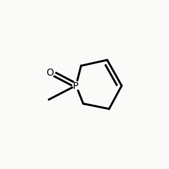 CP1(=O)CC=CCC1